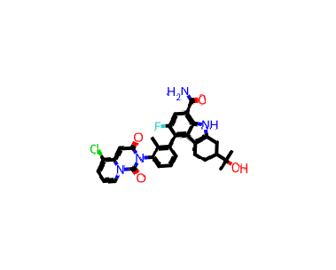 Cc1c(-c2c(F)cc(C(N)=O)c3[nH]c4c(c23)CCC(C(C)(C)O)C4)cccc1-n1c(=O)cc2c(Cl)cccn2c1=O